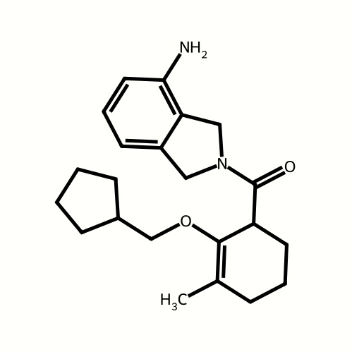 CC1=C(OCC2CCCC2)C(C(=O)N2Cc3cccc(N)c3C2)CCC1